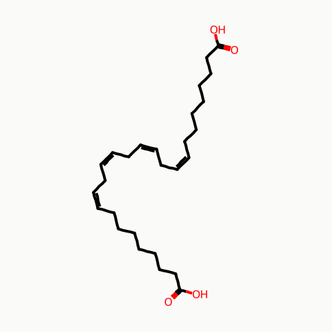 O=C(O)CCCCCCC/C=C\C/C=C\C/C=C\C/C=C\CCCCCCCC(=O)O